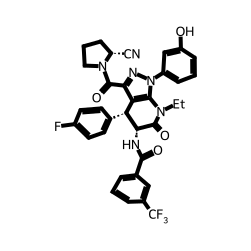 CCN1C(=O)[C@H](NC(=O)c2cccc(C(F)(F)F)c2)[C@H](c2ccc(F)cc2)c2c(C(=O)N3CCC[C@@H]3C#N)nn(-c3cccc(O)c3)c21